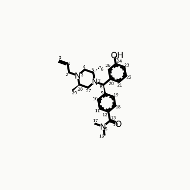 C=CCN1C[C@H](C)N([C@H](c2ccc(C(=O)N(C)C)cc2)c2cccc(O)c2)C[C@H]1C